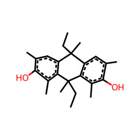 CCC1(C)c2cc(C)c(O)c(C)c2C(C)(CC)c2c1cc(C)c(O)c2C